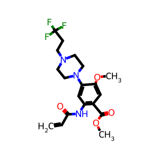 C=CC(=O)Nc1cc(N2CCN(CCC(F)(F)F)CC2)c(OC)cc1C(=O)OC